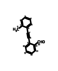 Cc1ccccc1C#Cc1ccccc1C=O